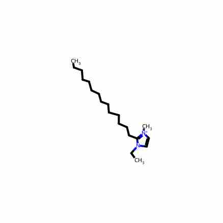 CCCCCCCCCCCCCCc1n(CC)cc[n+]1C